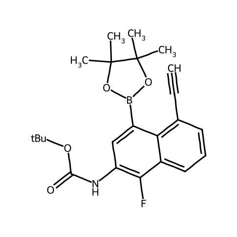 C#Cc1cccc2c(F)c(NC(=O)OC(C)(C)C)cc(B3OC(C)(C)C(C)(C)O3)c12